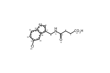 O=C(O)CCC(=O)NCc1csc2ccc(Cl)cc12